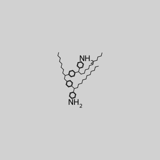 CCCCCCCCCCCC(c1ccc(N)cc1)c1ccc(CC(CCCCCCCC)c2ccc(C(CCCCCCCCCCC)c3ccc(N)cc3)cc2)cc1